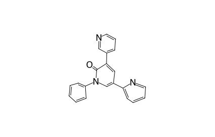 O=c1c(-c2cccnc2)cc(-c2ccccn2)cn1-c1ccccc1